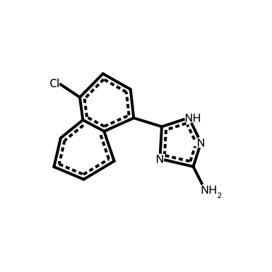 Nc1n[nH]c(-c2ccc(Cl)c3ccccc23)n1